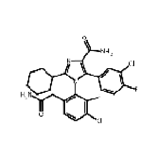 NC(=O)Cc1ccc(Cl)c(F)c1-n1c(C2CCCCC2)nc(C(N)=O)c1-c1ccc(F)c(Cl)c1